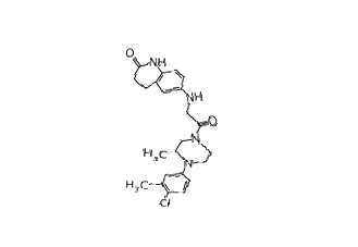 Cc1cc(N2CCN(C(=O)CNc3ccc4c(c3)CCC(=O)N4)C[C@H]2C)ccc1Cl